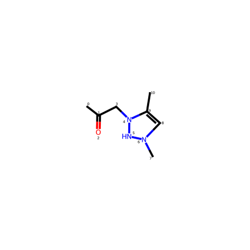 CC(=O)CN1NN(C)C=C1C